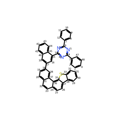 c1ccc(-c2nc(-c3ccccc3)nc(-c3cc(-c4ccc5ccc6ccc7c8ccccc8sc7c6c5c4)cc4ccccc34)n2)cc1